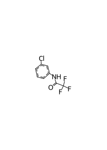 O=C(Nc1cccc(Cl)c1)C(F)(F)F